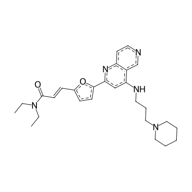 CCN(CC)C(=O)/C=C/c1ccc(-c2cc(NCCCN3CCCCC3)c3cnccc3n2)o1